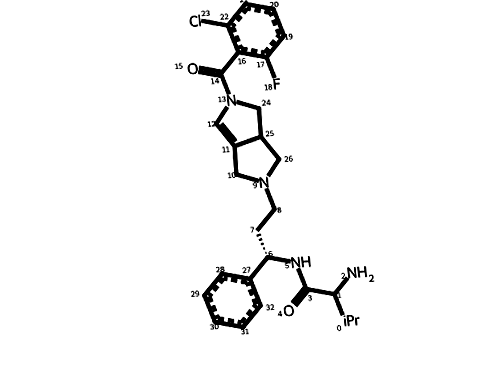 CC(C)C(N)C(=O)N[C@@H](CCN1CC2=CN(C(=O)c3c(F)cccc3Cl)CC2C1)c1ccccc1